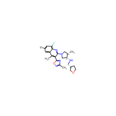 CCc1cc(F)c2nc(N3C[C@H](C)[C@H](NC[C@@H]4CCOC4)C3)c(-c3nc(C)no3)c(C)c2c1